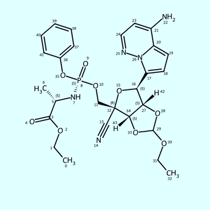 CCOC(=O)[C@H](C)N[P@](=O)(OC[C@@]1(C#N)O[C@@H](c2ccc3c(N)ccnn23)[C@@H]2OC(OCC)O[C@@H]21)Oc1ccccc1